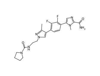 Cc1nn(CCNC(=O)N2CCCC2)cc1-c1ccc(-c2cnc(C(N)=O)n2C)c(F)c1F